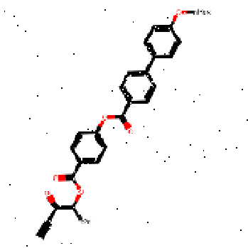 C#CC(=O)C(CCC)OC(=O)c1ccc(OC(=O)c2ccc(-c3ccc(OCCCCCC)cc3)cc2)cc1